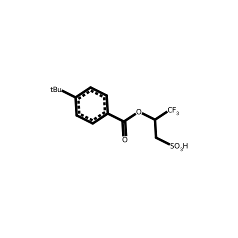 CC(C)(C)c1ccc(C(=O)OC(CS(=O)(=O)O)C(F)(F)F)cc1